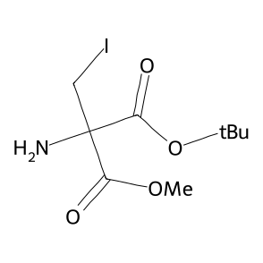 COC(=O)C(N)(CI)C(=O)OC(C)(C)C